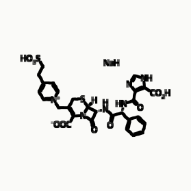 O=C([O-])C1=C(C[n+]2ccc(CCS(=O)(=O)O)cc2)CS[C@@H]2[C@H](NC(=O)[C@H](NC(=O)c3nc[nH]c3C(=O)O)c3ccccc3)C(=O)N12.[NaH]